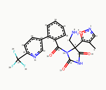 Cc1cnoc1C1(CN)C(=O)NC(=O)N1C(=O)c1ccccc1-c1ccc(C(F)(F)F)nc1